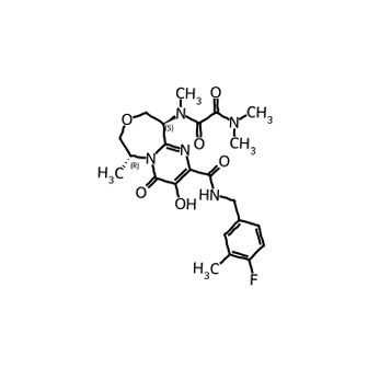 Cc1cc(CNC(=O)c2nc3n(c(=O)c2O)[C@H](C)COC[C@H]3N(C)C(=O)C(=O)N(C)C)ccc1F